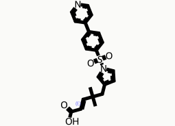 CC(C)(/C=C/C(=O)O)Cc1ccn(S(=O)(=O)c2ccc(-c3ccncc3)cc2)c1